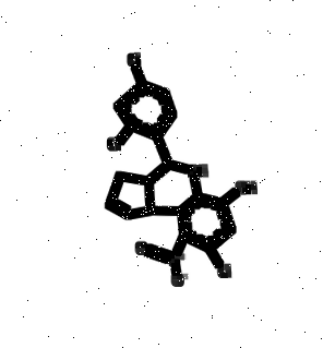 O=[N+]([O-])c1c(Cl)cc(O)c2c1C1C=CCC1C(c1ccc(Cl)cc1Cl)N2